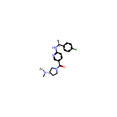 CC(=O)N(C)[C@H]1CCN(C(=O)c2ccc(N[C@@H](C)c3ccc(F)cc3)nc2)C1